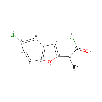 CC(C)C(C(=O)Cl)c1cc2cc(Cl)ccc2o1